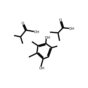 CC(C)C(=O)O.CC(C)C(=O)O.Cc1cc(O)c(C)c(C)c1O